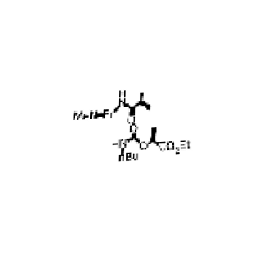 C=C(C)C(=O)NCCC.C=C(OC(=O)NCCCC)C(=O)OCC.CNC